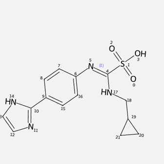 O=S(=O)(O)/C(=N/c1ccc(-c2ncc[nH]2)cc1)NCC1CC1